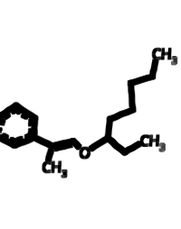 CCCCCC(CC)OC=C(C)c1ccccc1